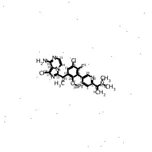 C=C(c1ccc(-c2c(F)c(Cl)cc([C@H](C)c3nc(Cl)c4c(N)nccn34)c2OC(C)C)cn1)N(C)C